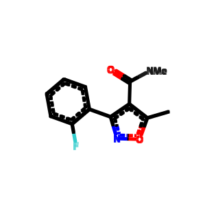 CNC(=O)c1c(-c2ccccc2F)noc1C